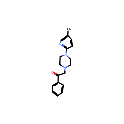 N#Cc1ccc(N2CCN(CC(=O)c3ccccc3)CC2)nc1